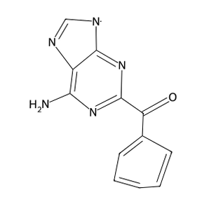 Nc1nc(C(=O)c2ccccc2)nc2c1N=C[N]2